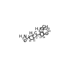 CC(=Cc1ccc(C(N)=O)cc1)c1ccc2c(c1)C(C)(C)CCO2